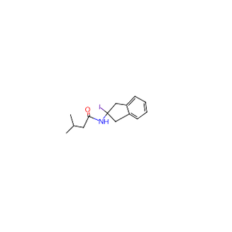 CC(C)CC(=O)NC1(I)Cc2ccccc2C1